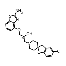 Nc1nc2c(OC[C@@H](O)CN3CCC4(CC3)Cc3cc(Cl)ccc3O4)cccc2s1